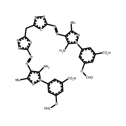 CC(C)(C)c1nn(-c2cc(OC=O)cc(C(=O)O)c2)c(N)c1N=Nc1nnc(Cc2nnc(N=Nc3c(C(C)(C)C)nn(-c4cc(OC=O)cc(C(=O)O)c4)c3N)s2)s1